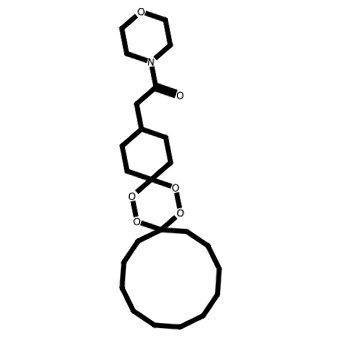 O=C(CC1CCC2(CC1)OOC1(CCCCCCCCCCC1)OO2)N1CCOCC1